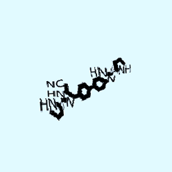 N#CCc1[nH]c([C@@H]2CCCN2)nc1-c1ccc(-c2ccc3nc([C@@H]4CCCN4)[nH]c3c2)cc1